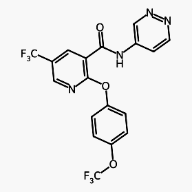 O=C(Nc1ccnnc1)c1cc(C(F)(F)F)cnc1Oc1ccc(OC(F)(F)F)cc1